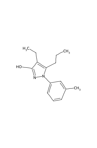 CCCc1c(CC)c(O)nn1-c1cccc(C)c1